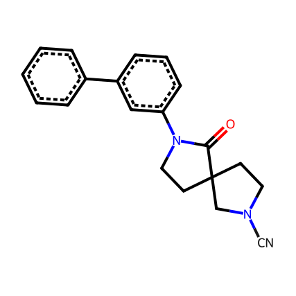 N#CN1CCC2(CCN(c3cccc(-c4ccccc4)c3)C2=O)C1